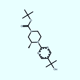 C[C@H]1CN(C(=O)OC(C)(C)C)CCN1c1ncc(C(C)(C)O)cn1